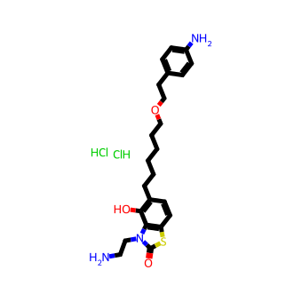 Cl.Cl.NCCn1c(=O)sc2ccc(CCCCCCOCCc3ccc(N)cc3)c(O)c21